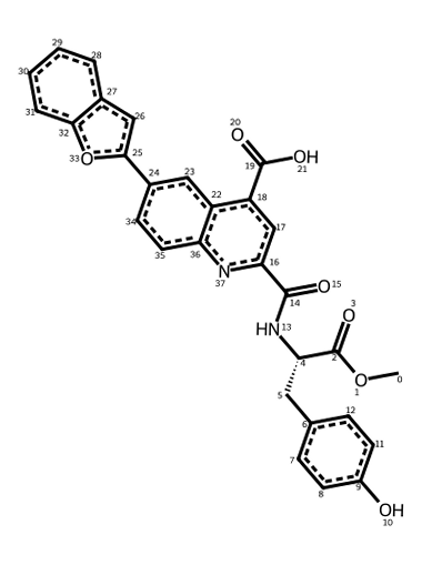 COC(=O)[C@H](Cc1ccc(O)cc1)NC(=O)c1cc(C(=O)O)c2cc(-c3cc4ccccc4o3)ccc2n1